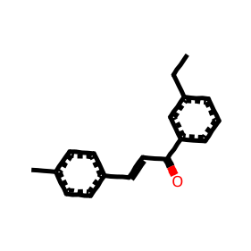 CCc1cccc(C(=O)C=Cc2ccc(C)cc2)c1